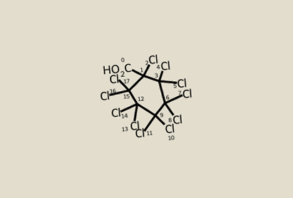 O=C(O)C1(Cl)C(Cl)(Cl)C(Cl)(Cl)C(Cl)(Cl)C(Cl)(Cl)C1(Cl)Cl